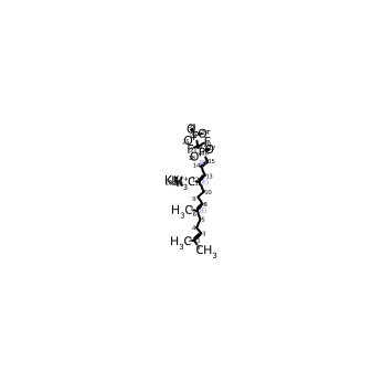 CC(C)=CCC/C(C)=C/CC/C(C)=C/C=C/P(=O)([O-])C(F)(F)P(=O)([O-])[O-].[K+].[K+].[K+]